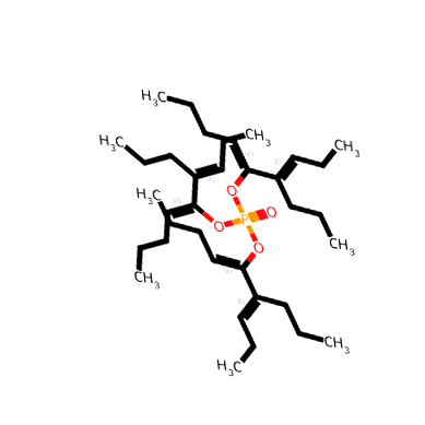 CC/C=C(CCC)/C(=C/CCC)OP(=O)(OC(=C\CCC)/C(=C/CC)CCC)OC(=C\CCC)/C(=C/CC)CCC